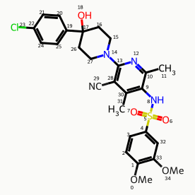 COc1ccc(S(=O)(=O)Nc2c(C)nc(N3CCC(O)(c4ccc(Cl)cc4)CC3)c(C#N)c2C)cc1OC